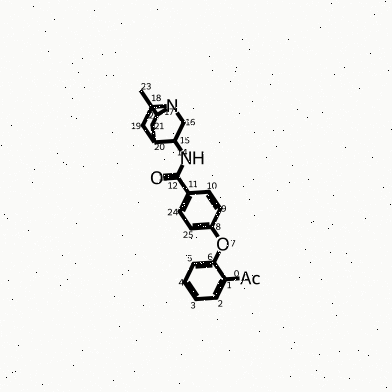 CC(=O)c1ccccc1Oc1ccc(C(=O)NC2CN3CCC2CC3C)cc1